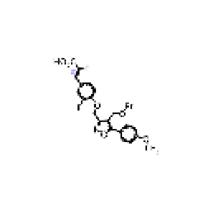 CCOCc1c(COc2ccc(/C=C(\F)C(=O)O)cc2F)noc1-c1ccc(OC(F)(F)F)cc1